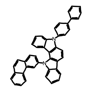 c1ccc(-c2ccc(-n3c4ccccc4c4c3ccc3c5ccccc5n(-c5ccc6ccc7ccccc7c6c5)c34)cc2)cc1